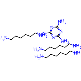 NCCCCCCN.NCCCCCCN.NCCCCCCN.Nc1nc(N)nc(N)n1